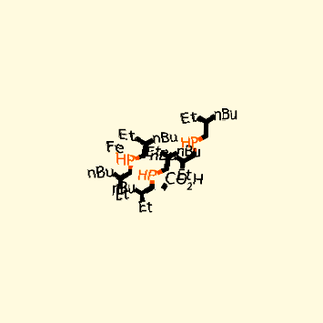 CC(=O)O.CCCCC(CC)CPCC(CC)CCCC.CCCCC(CC)CPCC(CC)CCCC.CCCCC(CC)CPCC(CC)CCCC.[Fe]